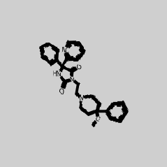 COC1(c2ccccc2)CCN(CCN2C(=O)NC(c3ccccc3)(c3ccccn3)C2=O)CC1